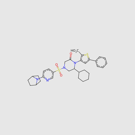 O=C(O)c1sc(-c2ccccc2)cc1N1C(=O)CN(S(=O)(=O)c2ccc(N3C4CCC3CC4)nc2)CC1C1CCCCC1